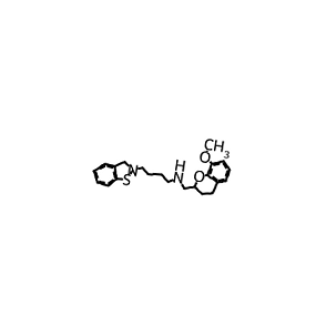 COc1cccc2c1OC(CNCCCCN1Cc3ccccc3S1)CC2